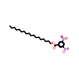 CCCCCCCCCCCCCCCCCCOC(=O)c1cc([N+](=O)[O-])cc([N+](=O)[O-])c1